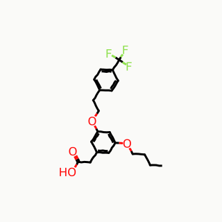 CCCCOc1cc(CC(=O)O)cc(OCCc2ccc(C(F)(F)F)cc2)c1